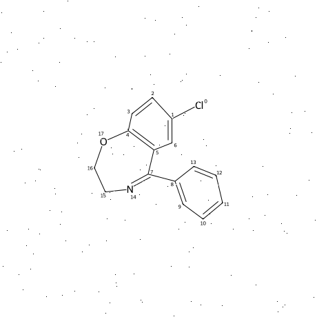 Clc1ccc2c(c1)C(c1ccccc1)=NCCO2